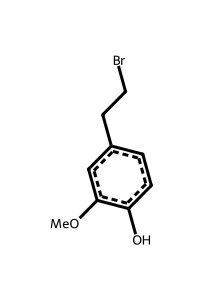 COc1cc(CCBr)ccc1O